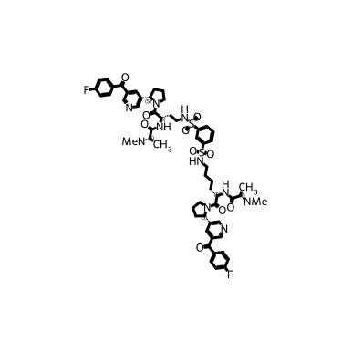 CN[C@@H](C)C(=O)N[C@@H](CCCCNS(=O)(=O)c1cccc(S(=O)(=O)NCC[C@H](NC(=O)[C@H](C)NC)C(=O)N2CCC[C@H]2c2cncc(C(=O)c3ccc(F)cc3)c2)c1)C(=O)N1CCC[C@H]1c1cncc(C(=O)c2ccc(F)cc2)c1